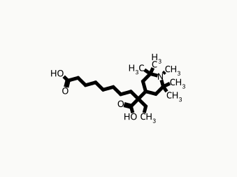 CCC(CCCCCCCC(=O)O)(C(=O)O)C1CC(C)(C)N(C)C(C)(C)C1